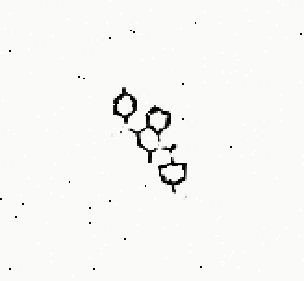 COc1ccc(C(=O)N2c3ccccc3C(N(C(C)=O)c3ccc(C(=O)O)cc3)CC2C)cc1